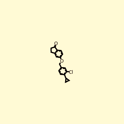 O=C1CCc2cc(OCc3ccc(C4CC4)c(Cl)c3)ccc21